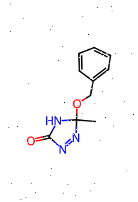 CC1(OCc2ccccc2)N=NC(=O)N1